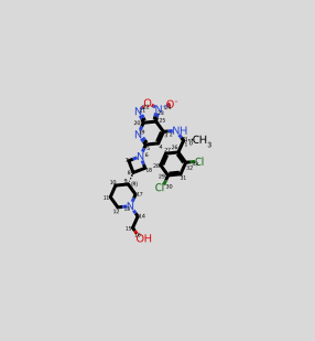 C[C@@H](Nc1cc(N2CC([C@H]3CCCN(CCO)C3)C2)nc2no[n+]([O-])c12)c1ccc(Cl)cc1Cl